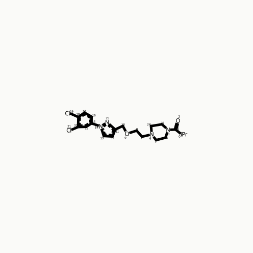 CC(C)C(=O)N1CCN(CCOCc2ccn(-c3ccc(Cl)c(Cl)c3)n2)CC1